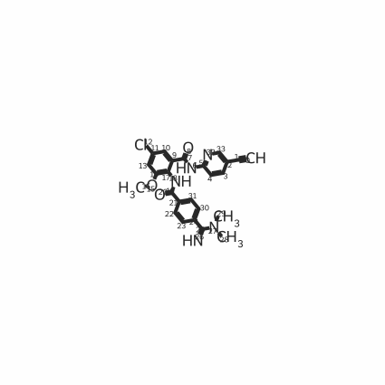 C#Cc1ccc(NC(=O)c2cc(Cl)cc(OC)c2NC(=O)c2ccc(C(=N)N(C)C)cc2)nc1